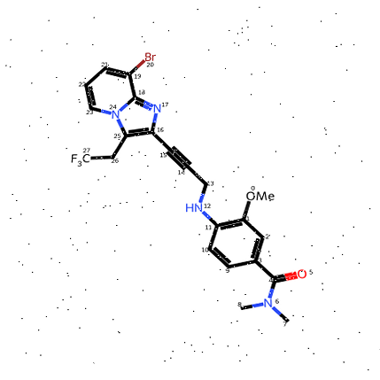 COc1cc(C(=O)N(C)C)ccc1NCC#Cc1nc2c(Br)cccn2c1CC(F)(F)F